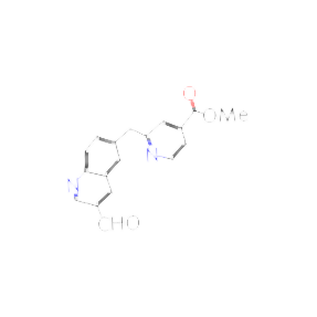 COC(=O)c1ccnc(Cc2ccc3ncc(C=O)cc3c2)c1